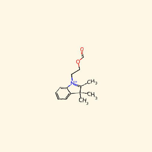 CC1=[N+](CCOC=O)c2ccccc2C1(C)C